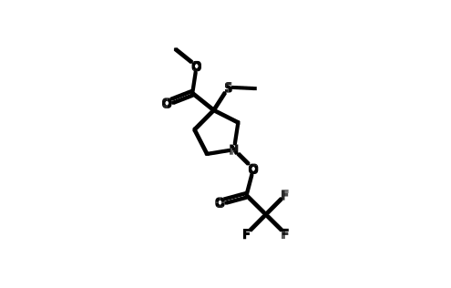 COC(=O)C1(SC)CCN(OC(=O)C(F)(F)F)C1